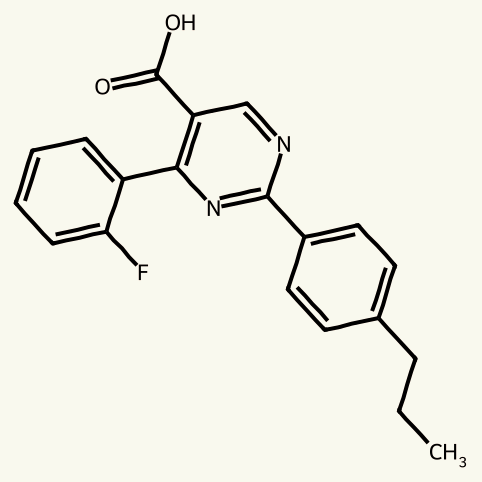 CCCc1ccc(-c2ncc(C(=O)O)c(-c3ccccc3F)n2)cc1